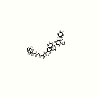 Clc1cc(Nc2ccnc3cc(-c4ccc(CNCCCN5CCOCC5)s4)ccc23)ccc1Sc1ccccc1